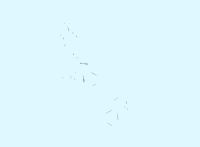 Cc1cc(COc2ccc(C3(NC(=O)O)CCN(CC4NC(=O)NC4=O)C3=O)cc2)c2ccccc2n1